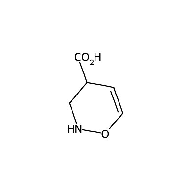 O=C(O)C1C=CONC1